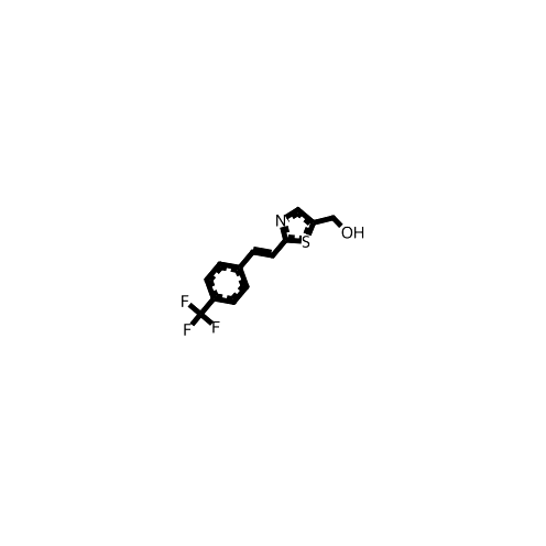 OCc1cnc(/C=C/c2ccc(C(F)(F)F)cc2)s1